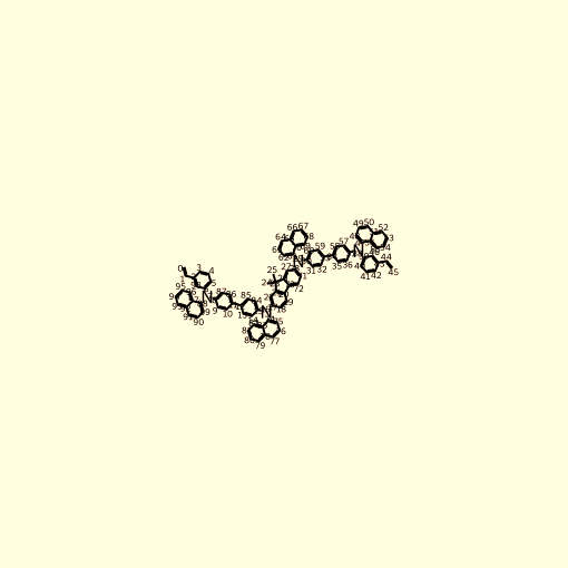 C=Cc1cccc(N(c2ccc(-c3ccc(N(c4ccc5c(c4)C(C)(C)c4cc(N(c6ccc(-c7ccc(N(c8cccc(C=C)c8)c8cccc9ccccc89)cc7)cc6)c6cccc7ccccc67)ccc4-5)c4cccc5ccccc45)cc3)cc2)c2cccc3ccccc23)c1